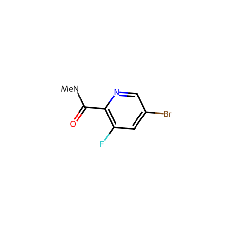 CNC(=O)c1ncc(Br)cc1F